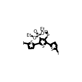 CCOP(=O)(OCC)c1c(-c2ccc(I)s2)sc(-c2ccc(I)s2)c1P=O